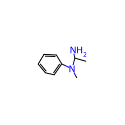 CC(N)N(C)c1ccccc1